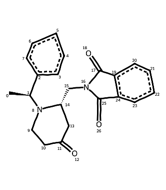 C[C@@H](c1ccccc1)N1CCC(=O)C[C@H]1CN1C(=O)c2ccccc2C1=O